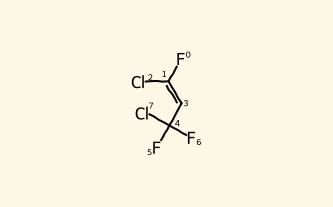 F/C(Cl)=C/C(F)(F)Cl